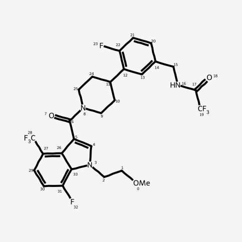 COCCn1cc(C(=O)N2CCC(c3cc(CNC(=O)C(F)(F)F)ccc3F)CC2)c2c(C(F)(F)F)ccc(F)c21